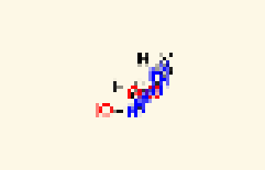 C[C@@H](NC(=O)c1cc(C#CCCO)ncn1)c1cc(-c2nc3ccc(C4(C)CC4)nc3[nH]2)no1